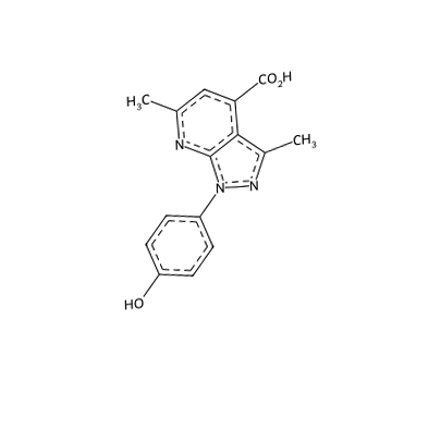 Cc1cc(C(=O)O)c2c(C)nn(-c3ccc(O)cc3)c2n1